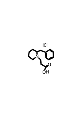 Cl.O=C(O)CCN1CCCCC1Cc1ccccc1